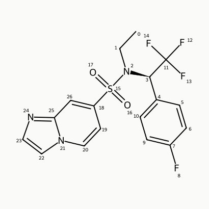 CCN([C@H](c1ccc(F)cc1)C(F)(F)F)S(=O)(=O)c1ccn2ccnc2c1